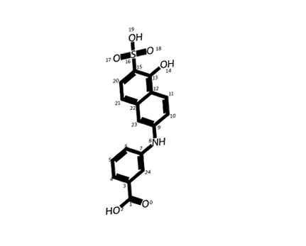 O=C(O)c1cccc(Nc2ccc3c(O)c(S(=O)(=O)O)ccc3c2)c1